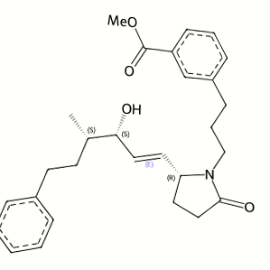 COC(=O)c1cccc(CCCN2C(=O)CC[C@@H]2/C=C/[C@@H](O)[C@@H](C)CCc2ccccc2)c1